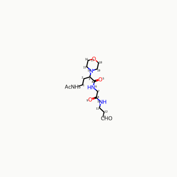 CC(=O)NCCC(C(=O)NCC(=O)NCCC=O)N1CCOCC1